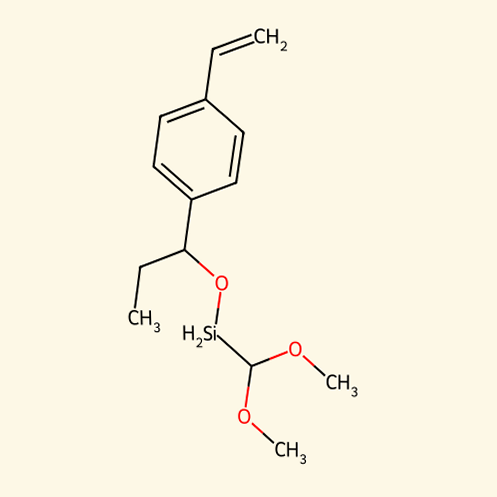 C=Cc1ccc(C(CC)O[SiH2]C(OC)OC)cc1